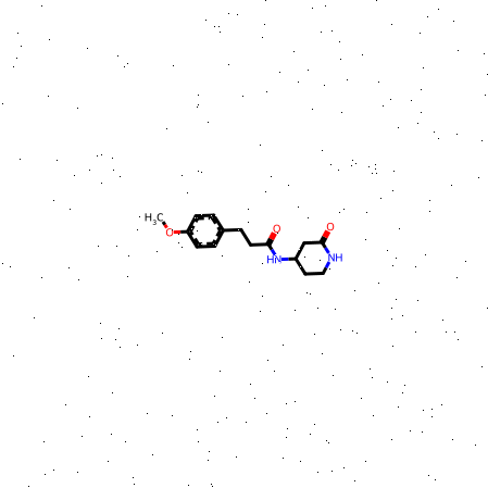 COc1ccc(CCC(=O)NC2CCNC(=O)C2)cc1